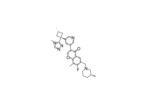 Cc1c(F)c(CN2CCC[C@H](C)C2)cc2c(=O)c(-c3cncc([C@]4(c5nncn5C)C[C@@H](C)C4)c3)coc12